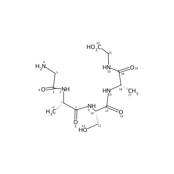 C[C@H](NC(=O)CN)C(=O)N[C@@H](CO)C(=O)N[C@@H](C)C(=O)NCC(=O)O